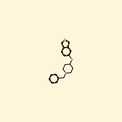 c1ccc(CN2CCC(Oc3ccc4cocc4c3)CC2)cc1